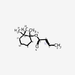 C/C=C/C(=O)OC1(C)CCCCC1(C)C